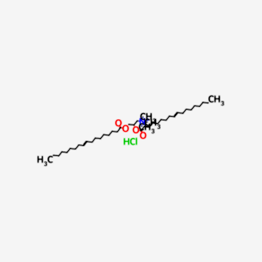 CCCCCCCCC=CCCCCCCCC(=O)OCC(C[N+](C)(C)C)OC(=O)CCCCCCCC=CCCCCCCCC.Cl